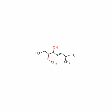 CCC(OC)C(O)C=CC(C)C